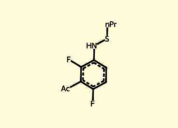 CCCSNc1ccc(F)c(C(C)=O)c1F